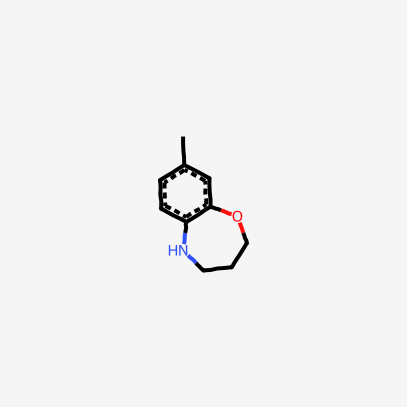 Cc1ccc2c(c1)OCCCN2